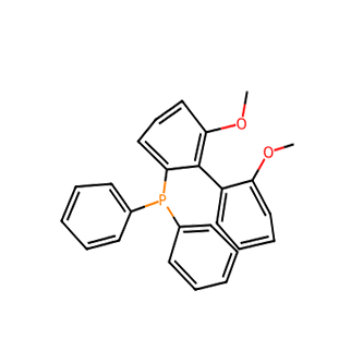 COc1ccccc1-c1c(OC)cccc1P(c1ccccc1)c1ccccc1